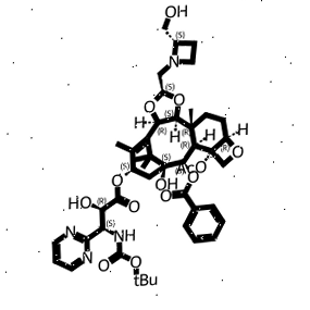 CC(=O)O[C@@]12CO[C@@H]1CC[C@@]1(C)[C@@H]3O[C@H](CN4CC[C@H]4CO)O[C@@H]3C3=C(C)[C@@H](OC(=O)[C@H](O)[C@@H](NC(=O)OC(C)(C)C)c4ncccn4)C[C@@](O)([C@@H](OC(=O)c4ccccc4)[C@@H]12)C3(C)C